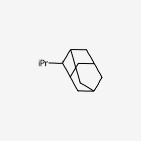 CC(C)[C]1C2CC3CC(C2)CC1C3